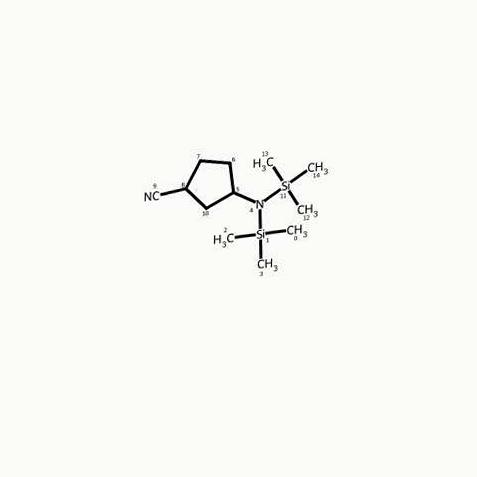 C[Si](C)(C)N(C1CCC(C#N)C1)[Si](C)(C)C